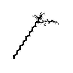 CCCCCCCCCCCCCCCCC(OP(=O)(O)OCCN)[C@@H](O)CO